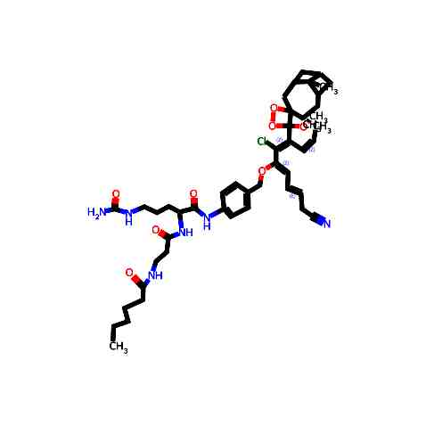 C\C=C/C(=C(Cl)\C(=C\C=C\CC#N)OCc1ccc(NC(=O)C(CCCNC(N)=O)NC(=O)CCNC(=O)CCCCC)cc1)C1(OC)OOC12C(C)CC1CC3CC2CC13C